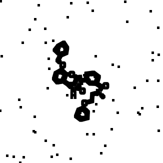 CN(CCOc1ccccc1)C(=O)c1cccc(N2C(=O)NC3CC2(C)Oc2c(OCc4ccccc4)cccc23)c1